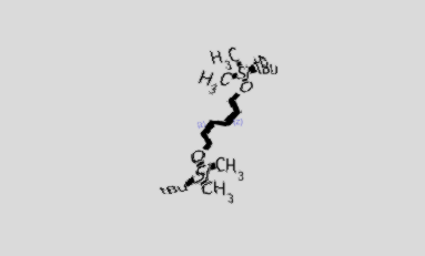 CC(C)(C)[Si](C)(C)OC/C=C\C=C/CO[Si](C)(C)C(C)(C)C